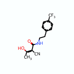 C/C(O)=C(\C#N)C(=O)NCCc1ccc(C(F)(F)F)cc1